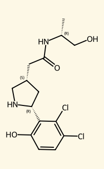 C[C@H](CO)NC(=O)C[C@H]1CN[C@@H](c2c(O)ccc(Cl)c2Cl)C1